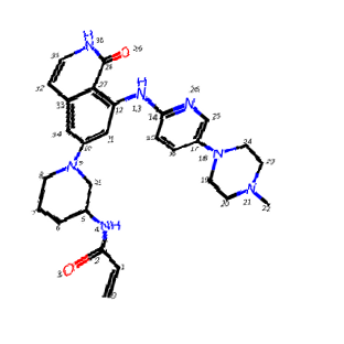 C=CC(=O)NC1CCCN(c2cc(Nc3ccc(N4CCN(C)CC4)cn3)c3c(=O)[nH]ccc3c2)C1